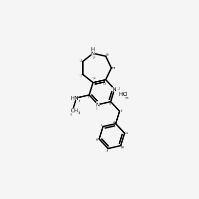 CNc1nc(Cc2ccccc2)nc2c1CCNCC2.Cl